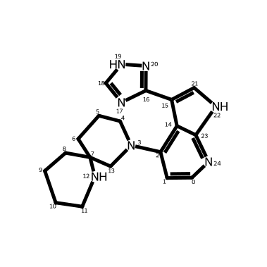 c1cc(N2CCCC3(CCCCN3)C2)c2c(-c3nc[nH]n3)c[nH]c2n1